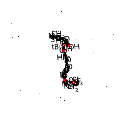 Cc1ncsc1-c1ccc(CNC(=O)[C@@H]2C[C@@H](O)CN2C(=O)C(NC(=O)CCCNC(=O)CCCC(=O)N2CCC(n3cc(-c4cnc(N)c(O[C@H](C)c5c(Cl)ccc(F)c5Cl)c4)cn3)CC2)C(C)(C)C)cc1